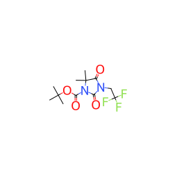 CC(C)(C)OC(=O)N1C(=O)N(CC(F)(F)F)C(=O)C1(C)C